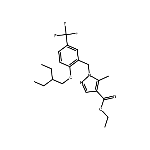 CCOC(=O)c1cnn(Cc2cc(C(F)(F)F)ccc2OCC(CC)CC)c1C